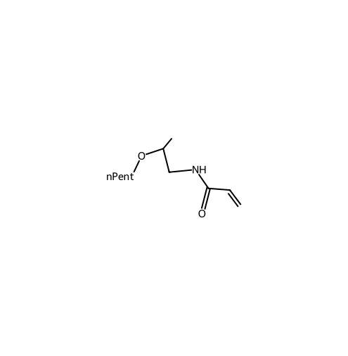 C=CC(=O)NCC(C)OCCCCC